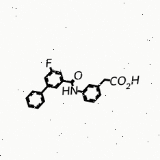 O=C(O)Cc1cccc(NC(=O)c2cc(F)cc(-c3ccccc3)c2)c1